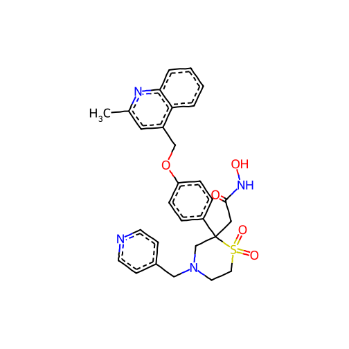 Cc1cc(COc2ccc(C3(CC(=O)NO)CN(Cc4ccncc4)CCS3(=O)=O)cc2)c2ccccc2n1